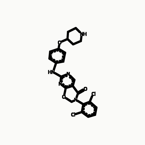 O=C1c2cnc(Nc3ccc(OC4CCNCC4)cc3)nc2OCN1c1c(Cl)cccc1Cl